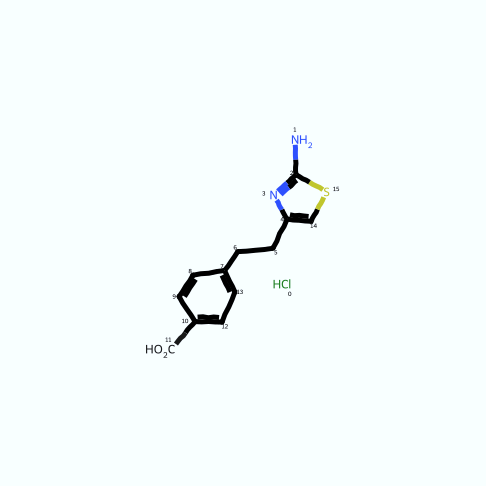 Cl.Nc1nc(CCc2ccc(C(=O)O)cc2)cs1